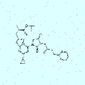 CN(Cc1cn2cc(C3CC3)cc(N3CC(=O)N(CC(=O)OCc4ccccc4)C3=O)c2n1)C(=O)OC(C)(C)C